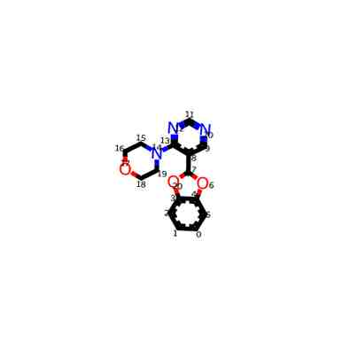 c1ccc2c(c1)O[C](c1cncnc1N1CCOCC1)O2